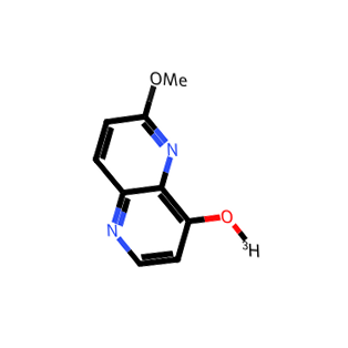 [3H]Oc1ccnc2ccc(OC)nc12